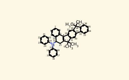 CC1(C)C2=C(c3ccccc3C(N(c3ccccc3)c3ccccc3)C2)c2cc3c(cc21)-c1ccccc1C3(C)C